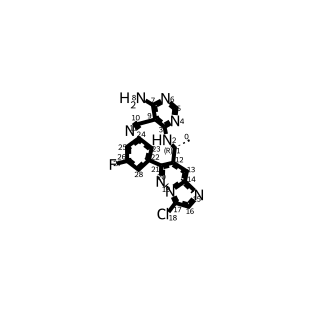 C[C@@H](Nc1ncnc(N)c1C#N)c1cc2ncc(Cl)n2nc1-c1cccc(F)c1